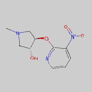 CN1C[C@@H](O)[C@H](Oc2ncccc2[N+](=O)[O-])C1